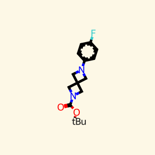 CC(C)(C)OC(=O)N1CC2(C1)CN(c1ccc(F)cc1)C2